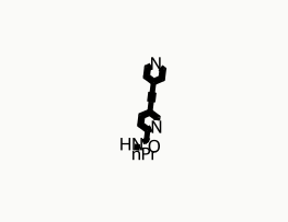 CCCNC(=O)c1ccc(C#Cc2ccncc2)cn1